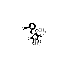 COc1c(Br)c(=O)n(C)c(=O)n1Cc1ccccc1C#N